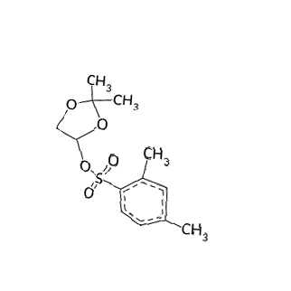 Cc1ccc(S(=O)(=O)OC2COC(C)(C)O2)c(C)c1